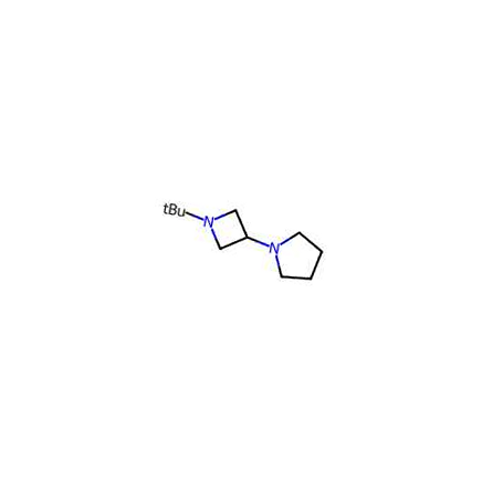 CC(C)(C)N1CC(N2CCCC2)C1